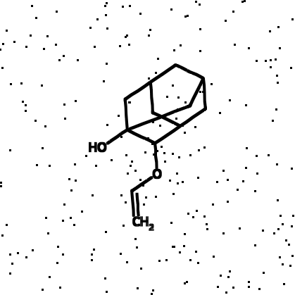 C=COC1C2CC3CC(C2)CC1(O)C3